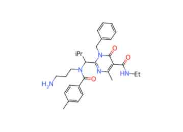 CCNC(=O)c1c(C)nc(C(C(C)C)N(CCCN)C(=O)c2ccc(C)cc2)n(Cc2ccccc2)c1=O